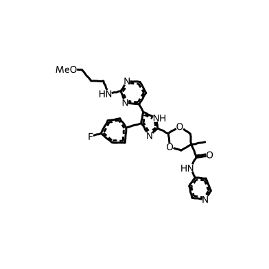 COCCCNc1nccc(-c2[nH]c(C3OCC(C)(C(=O)Nc4ccncc4)CO3)nc2-c2ccc(F)cc2)n1